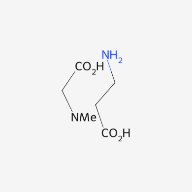 CNCC(=O)O.NCCC(=O)O